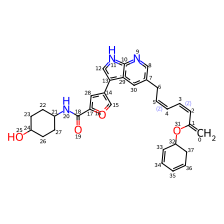 C=C(/C=C\C=C/Cc1cnc2[nH]cc(-c3coc(C(=O)NC4CCC(O)CC4)c3)c2c1)OC1C=CC=CC1